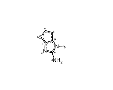 Cn1c(N)nc2sccc21